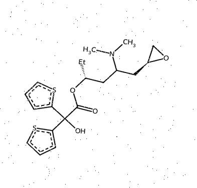 CC[C@H](CC(C[C@H]1CO1)N(C)C)OC(=O)C(O)(c1cccs1)c1cccs1